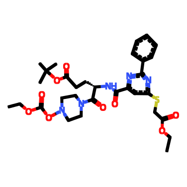 CCOC(=O)CSc1cc(C(=O)N[C@@H](CCC(=O)OC(C)(C)C)C(=O)N2CCN(OC(=O)OCC)CC2)nc(-c2ccccc2)n1